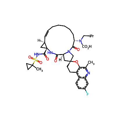 Cc1nc2cc(F)ccc2c2c1O[C@]1(CC2)C[C@H]2C(=O)N[C@]3(C(=O)NS(=O)(=O)C4(C)CC4)C[C@H]3/C=C\CCCCC[C@H](N(CC(C)C)C(=O)O)C(=O)N2C1